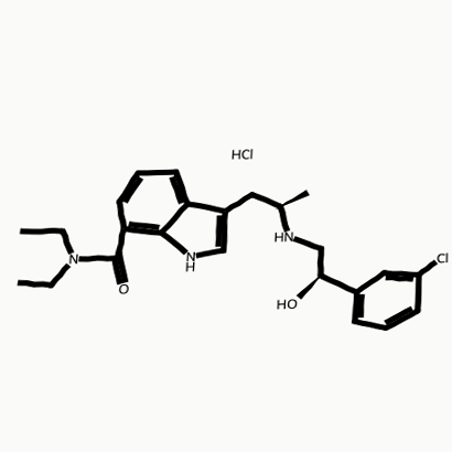 CCN(CC)C(=O)c1cccc2c(C[C@@H](C)NC[C@H](O)c3cccc(Cl)c3)c[nH]c12.Cl